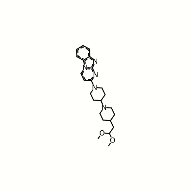 COC(CC1CCN(C2CCN(c3ccn4c(n3)nc3ccccc34)CC2)CC1)OC